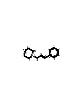 C(=C\c1ccccc1)/CN1CC[N]CC1